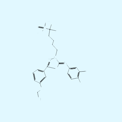 CCOc1cccc(-c2nn(CCCCC(F)(F)P(=O)(O)O)/c(=N/c3ccc(Br)c(Cl)c3)s2)c1